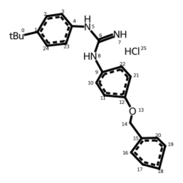 CC(C)(C)c1ccc(NC(=N)Nc2ccc(OCc3ccccc3)cc2)cc1.Cl